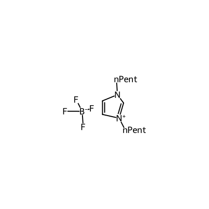 CCCCCn1cc[n+](CCCCC)c1.F[B-](F)(F)F